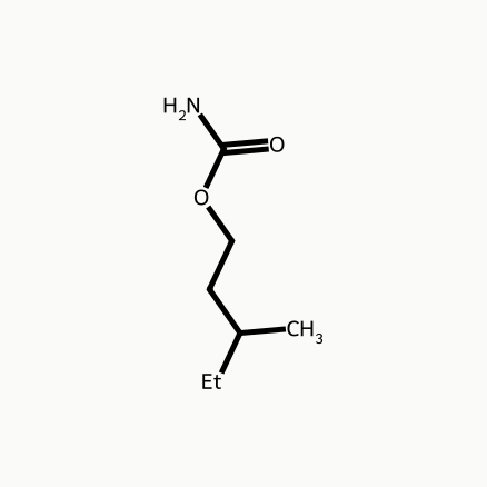 CCC(C)CCOC(N)=O